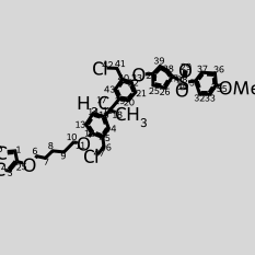 C=C/C(=C\C)OCCCCCOc1ccc(C(C)(C)c2ccc(Oc3ccc(S(=O)(=O)c4ccc(OC)cc4)cc3)c(CCl)c2)cc1CCl